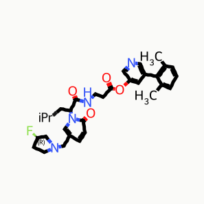 Cc1cccc(C)c1-c1cncc(OC(=O)CCNC(=O)C(CC(C)C)n2cc(CN3CC[C@@H](F)C3)ccc2=O)c1